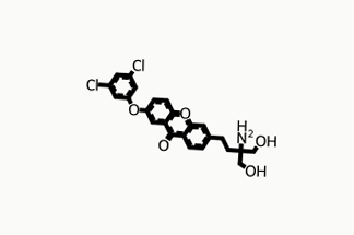 NC(CO)(CO)CCc1ccc2c(=O)c3cc(Oc4cc(Cl)cc(Cl)c4)ccc3oc2c1